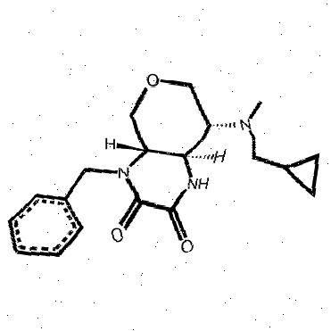 CN(CC1CC1)[C@H]1COC[C@@H]2[C@@H]1NC(=O)C(=O)N2Cc1ccccc1